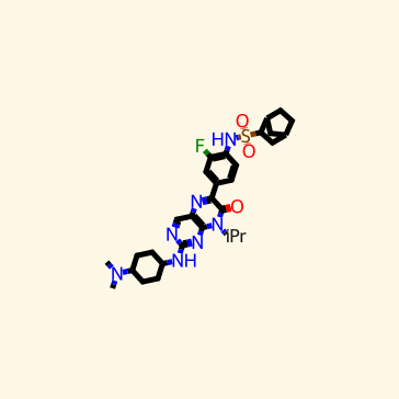 CC(C)n1c(=O)c(-c2ccc(NS(=O)(=O)C3CC4CCC3C4)c(F)c2)nc2cnc(NC3CCC(N(C)C)CC3)nc21